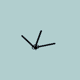 CCCCCCCCCCCCCCCCCCCCOc1c[c]cc(OCCCCCCCCCCCCCCCCCCCC)c1OCCCCCCCCCCCCCCCCCCCC